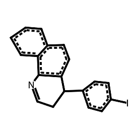 Ic1ccc(C2CC=Nc3c2ccc2ccccc32)cc1